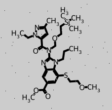 CCCn1c(N(COCC[Si](C)(C)C)C(=O)c2cc(C)nn2CC)nc2cc(C(=O)OC)cc(SCCOC)c21